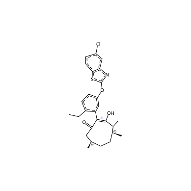 CCc1ccc(Oc2nc3cc(Cl)ccc3s2)cc1/C1=C(\O)C(C)[C@@H](C)CC[C@@H](C)CC1=O